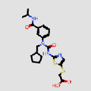 CC(C)NC(=O)c1cccc(N(CC2CCCC2)C(=O)Nc2ncc(SCC(=O)O)s2)c1